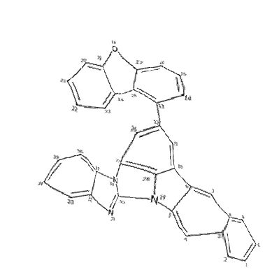 c1ccc2cc3c(cc2c1)c1cc(-c2cccc4oc5ccccc5c24)cc2c1n3c1nc3ccccc3n21